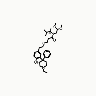 CCN1CCC(c2ccccc2)(c2cc(CCOCCC(=O)N(CC(OC)OC)[C@H](C)C(C)C)ccc2O)CC1